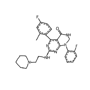 Cc1cc(F)ccc1-c1nc(NCCN2CCCCC2)nc2c1C(=O)NCN2c1ccccc1F